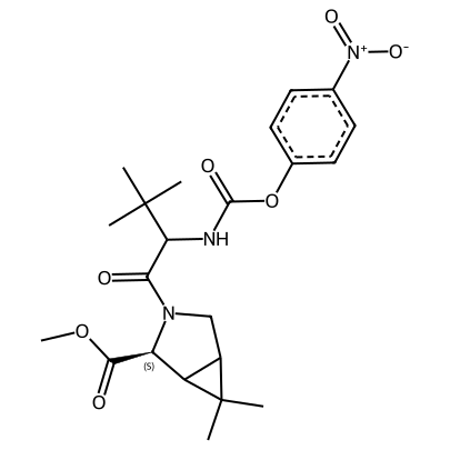 COC(=O)[C@@H]1C2C(CN1C(=O)C(NC(=O)Oc1ccc([N+](=O)[O-])cc1)C(C)(C)C)C2(C)C